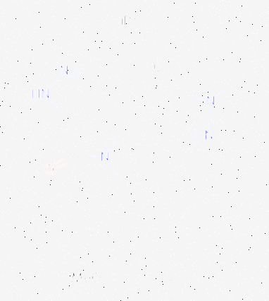 COc1cc(N2C(=O)c3[nH]nc(CC(C)C)c3C2c2c(C)nn(C)c2Cl)ccc1F